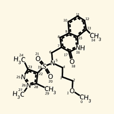 COCCCN(Cc1cc2cccc(C)c2[nH]c1=O)S(=O)(=O)c1c(C)nn(C)c1C